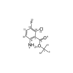 CC(C)(C)OC(=O)c1c(N)ccc(F)c1Cl